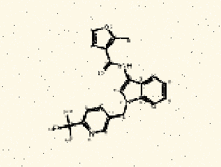 Cc1occc1C(=O)Nc1cn(Cc2ccc(C(F)(F)F)nc2)c2ccccc12